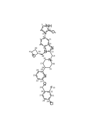 O=c1[nH]ccn1-c1ccc2c(c1)nc(CN1CCC(c3cccc(OCc4ccc(Cl)cc4F)n3)CC1)n2C[C@@H]1CCO1